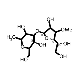 COC1C(O)[C@H](OC2C(O)C(C)OC(CO)[C@@H]2O)O[C@H]1[C@H](O)CO